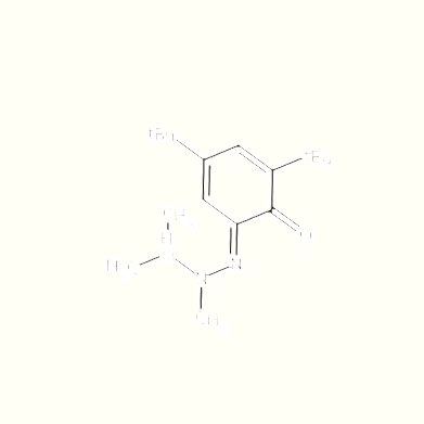 CN(N=C1C=C(C(C)(C)C)C=C(C(C)(C)C)C1=O)[SiH](C)C